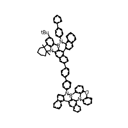 CC(C)(C)c1cc2c3c(c1)C1(C)CCCCC1(C)N3c1cc3cc(-c4ccc(-c5ccc(N6B7c8cccc9c8N(c8ccccc8O9)c8c7c(cc7ccccc87)-c7c6ccc6ccccc76)cc5)cc4)ccc3c3c1B2N(c1ccc(-c2ccccc2)cc1)c1c-3ccc2ccccc12